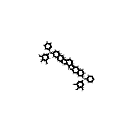 Cc1cc(N(c2ccccc2)c2ccc3cc4c(cc3c2)oc2c4ccc3c4cc5ccc(N(c6ccccc6)c6cc(C)c(C)c(C)c6)cc5cc4oc32)cc(C)c1C